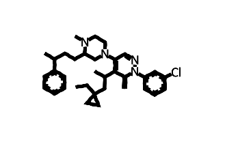 C=C1C(C(C)CC2(CC)CC2)=C(N2CCN(C)C(CCC(C)c3ccccc3)C2)C=NN1c1cccc(Cl)c1